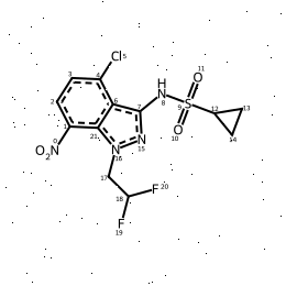 O=[N+]([O-])c1ccc(Cl)c2c(NS(=O)(=O)C3CC3)nn(CC(F)F)c12